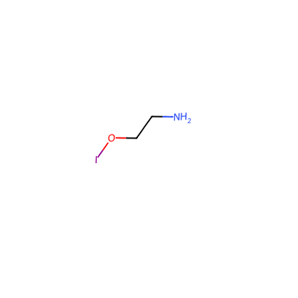 NCCOI